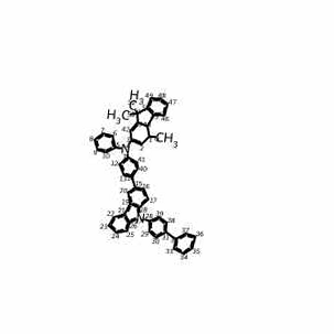 CC1C=C(N(c2ccccc2)c2ccc(-c3ccc4c(c3)c3ccccc3n4-c3ccc(-c4ccccc4)cc3)cc2)C=C2C1c1ccccc1C2(C)C